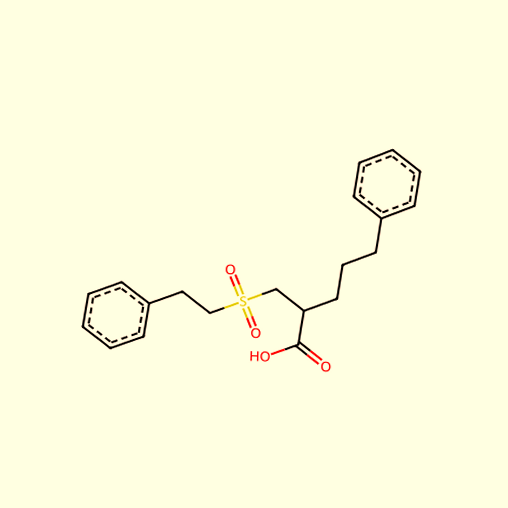 O=C(O)C(CCCc1ccccc1)CS(=O)(=O)CCc1ccccc1